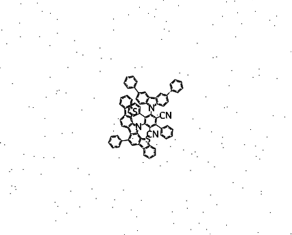 N#Cc1c(-c2ccccc2)c(C#N)c(-n2c3c(ccc4c5ccccc5sc43)c3c(-c4ccccc4)cc4c5ccccc5sc4c32)c(-c2ccccc2)c1-n1c2ccc(-c3ccccc3)cc2c2cc(-c3ccccc3)ccc21